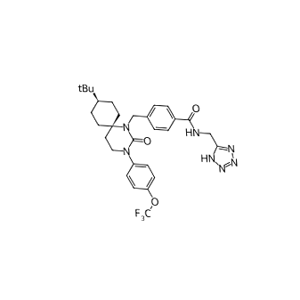 CC(C)(C)[C@H]1CC[C@@]2(CCN(c3ccc(OC(F)(F)F)cc3)C(=O)N2Cc2ccc(C(=O)NCc3nnn[nH]3)cc2)CC1